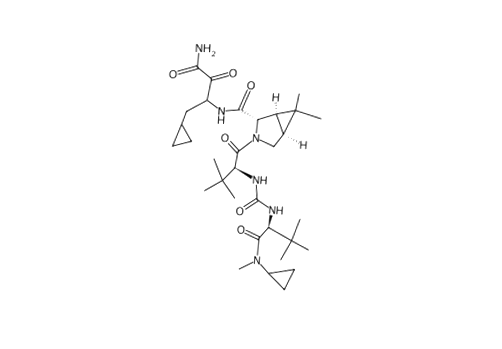 CN(C(=O)[C@@H](NC(=O)N[C@H](C(=O)N1C[C@H]2[C@@H]([C@H]1C(=O)NC(CC1CC1)C(=O)C(N)=O)C2(C)C)C(C)(C)C)C(C)(C)C)C1CC1